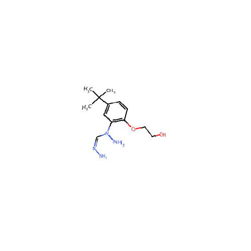 CC(C)(C)c1ccc(OCCO)c(N(N)/C=N\N)c1